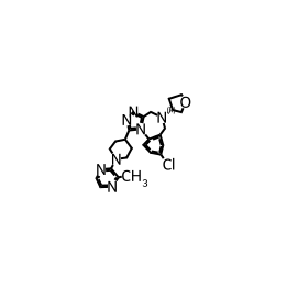 Cc1nccnc1N1CCC(c2nnc3n2-c2ccc(Cl)cc2CN([C@@H]2CCOC2)C3)CC1